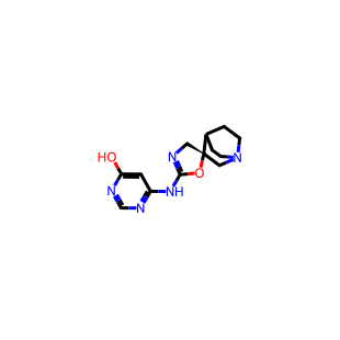 Oc1cc(NC2=NC[C@@]3(CN4CCC3CC4)O2)ncn1